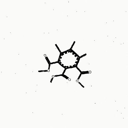 COC(=O)c1c(C)c(C)c(C)c(C(=O)OC)c1C(=O)OC